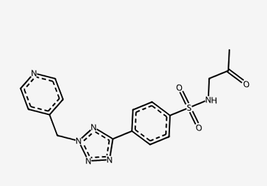 CC(=O)CNS(=O)(=O)c1ccc(-c2nnn(Cc3ccncc3)n2)cc1